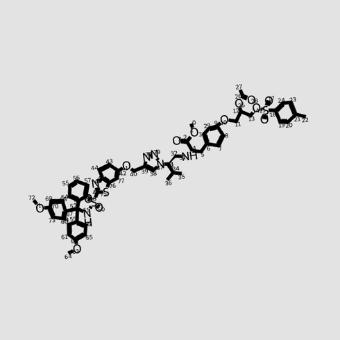 COC(=O)C(Cc1ccc(OCC(COS(=O)(=O)c2ccc(C)cc2)OC(C)=O)cc1)NC[C@@H](C(C)C)n1cc(COc2ccc3nc(S(=O)(=O)NC(c4ccccc4)(c4ccc(OC)cc4)c4ccc(OC)cc4)sc3c2)nn1